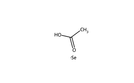 CC(=O)O.[Se]